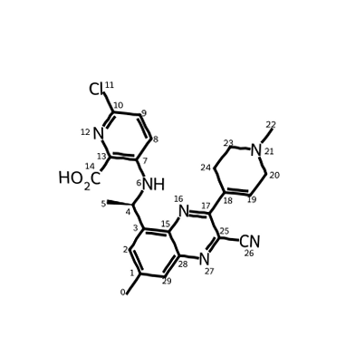 Cc1cc([C@@H](C)Nc2ccc(Cl)nc2C(=O)O)c2nc(C3=CCN(C)CC3)c(C#N)nc2c1